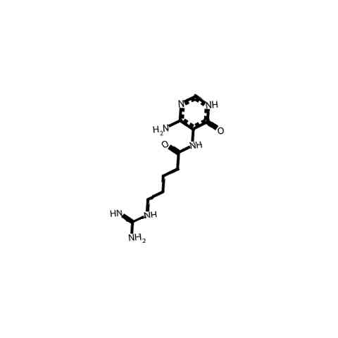 N=C(N)NCCCCC(=O)Nc1c(N)nc[nH]c1=O